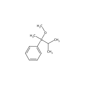 CO[Si](C)(c1ccccc1)C(C)C